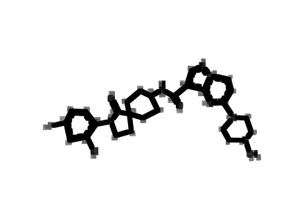 CN1CCN(c2ccn3ncc(C(=O)NC4CCC5(CC4)CCN(c4ccc(F)cc4Cl)C5=O)c3n2)CC1